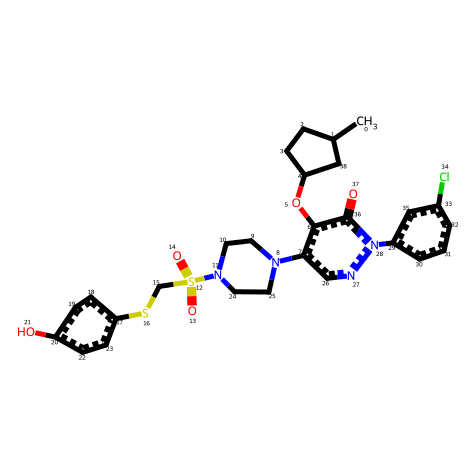 CC1CCC(Oc2c(N3CCN(S(=O)(=O)CSc4ccc(O)cc4)CC3)cnn(-c3cccc(Cl)c3)c2=O)C1